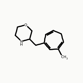 CC1=CCC=CC(CC2COCCN2)=C1